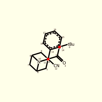 CC(C)(C)OC(=O)N1CC2CC(C1)N2C(C#N)c1ccccc1